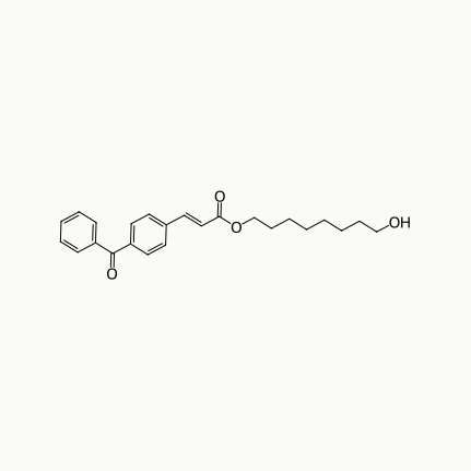 O=C(C=Cc1ccc(C(=O)c2ccccc2)cc1)OCCCCCCCCO